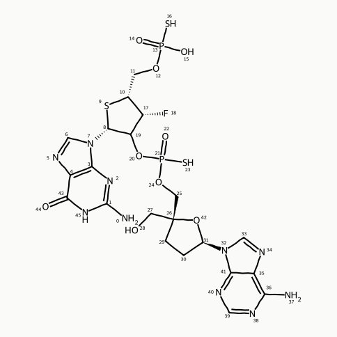 Nc1nc2c(ncn2[C@@H]2S[C@H](COP(=O)(O)S)[C@H](F)C2OP(=O)(S)OC[C@]2(CO)CC[C@H](n3cnc4c(N)ncnc43)O2)c(=O)[nH]1